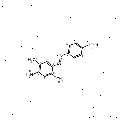 Cc1cc(/N=N/c2ccc(S(=O)(=O)O)cc2)c(C)cc1N